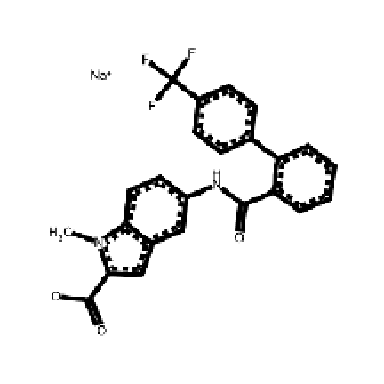 Cn1c(C(=O)[O-])cc2cc(NC(=O)c3ccccc3-c3ccc(C(F)(F)F)cc3)ccc21.[Na+]